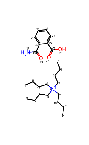 CCCC[N+](CCCC)(CCCC)CCCC.NC(=O)c1ccccc1C(=O)O